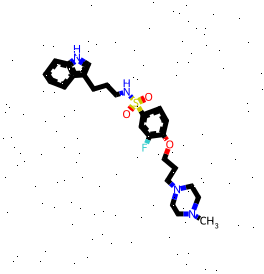 CN1CCN(CCCOc2ccc(S(=O)(=O)NCCCc3c[nH]c4ccccc34)cc2F)CC1